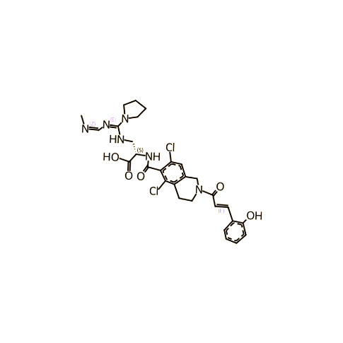 C/N=C\N=C(/NC[C@H](NC(=O)c1c(Cl)cc2c(c1Cl)CCN(C(=O)/C=C/c1ccccc1O)C2)C(=O)O)N1CCCC1